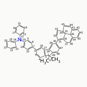 CC1(C)c2ccc(-c3ccc(N(c4ccccc4)c4ccccc4)cc3)cc2-c2cc(-c3ccc4c5c3CC=C3C=CC=C(C=C4)C35)ccc21